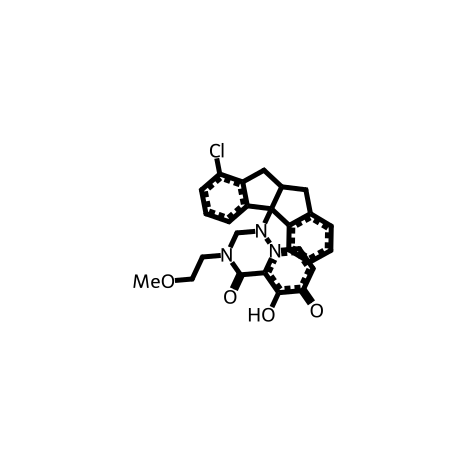 COCCN1CN(C23c4ccccc4CC2Cc2c(Cl)cccc23)n2ccc(=O)c(O)c2C1=O